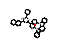 C1=CC2c3ccccc3N(c3ccccc3)C2c2c1c1ccccc1n2-c1ccc(C2=NC(c3ccccc3)NC(c3ccc4ccccc4c3)=N2)cn1